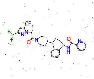 O=C(NC1CCC(C2CCN(C(=O)Cn3nc(C(F)F)cc3C(F)(F)F)CC2)c2ccccc21)c1ccccn1